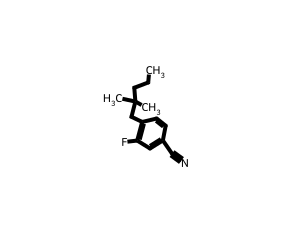 CCCC(C)(C)Cc1ccc(C#N)cc1F